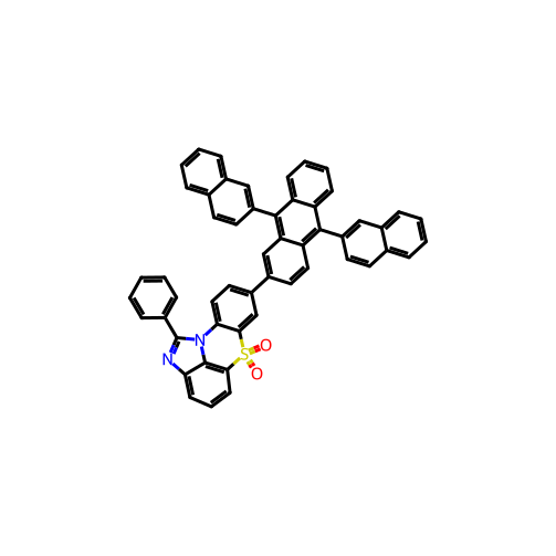 O=S1(=O)c2cc(-c3ccc4c(-c5ccc6ccccc6c5)c5ccccc5c(-c5ccc6ccccc6c5)c4c3)ccc2-n2c(-c3ccccc3)nc3cccc1c32